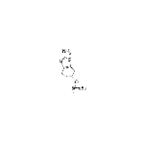 CCCC[Si](C)(C)OC1CCc2nc(N)sc2C1